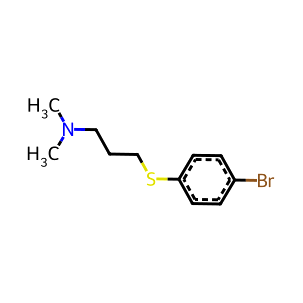 CN(C)CCCSc1ccc(Br)cc1